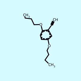 C#Cc1cc(OCCCC)ccc1OCCCC